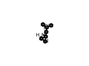 Nc1c(-c2ccc(-c3cc(-c4ccccc4)nc(-c4ccccc4)n3)cc2)cccc1-c1ccccc1-c1cccnc1